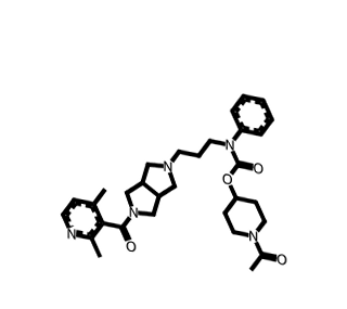 CC(=O)N1CCC(OC(=O)N(CCCN2CC3CN(C(=O)c4c(C)ccnc4C)CC3C2)c2ccccc2)CC1